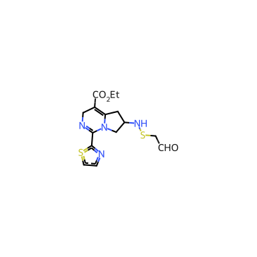 CCOC(=O)C1=C2CC(NSCC=O)CN2C(c2nccs2)=NC1